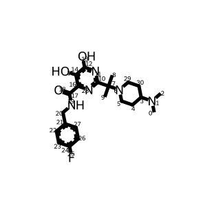 CN(C)C1CCN(C(C)(C)c2nc(O)c(O)c(C(=O)NCc3ccc(F)cc3)n2)CC1